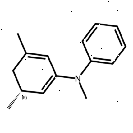 CC1=CC(N(C)c2ccccc2)=C[C@H](C)C1